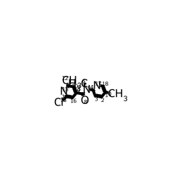 Cc1ccc(N(C)C(=O)c2cc(C)nc(Cl)c2)nc1